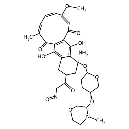 COC1=C/C(=O)c2c(O)c3c(c(O)c2C(=O)\C(C)=C/C=C\1)CC(C(=O)CN=O)C[C@]3(N)OC1CC[C@H](OC2COCCN2C)CO1